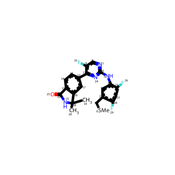 CSCc1cc(Nc2ncc(F)c(-c3ccc4c(c3)C(C)(C)NC4=O)n2)c(F)cc1F